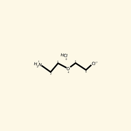 Cl.NCCOCCCl